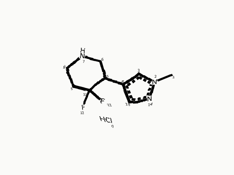 Cl.Cn1cc(C2CNCCC2(F)F)cn1